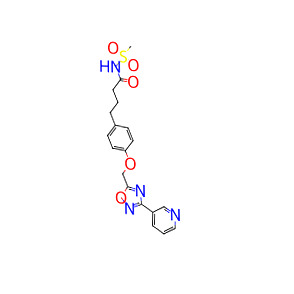 CS(=O)(=O)NC(=O)CCCc1ccc(OCc2nc(-c3cccnc3)no2)cc1